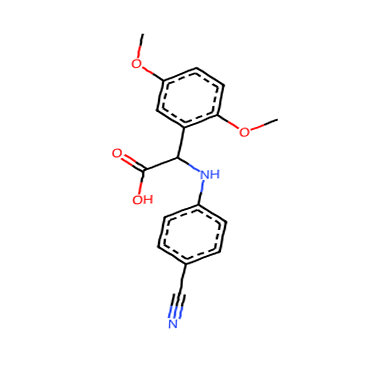 COc1ccc(OC)c(C(Nc2ccc(C#N)cc2)C(=O)O)c1